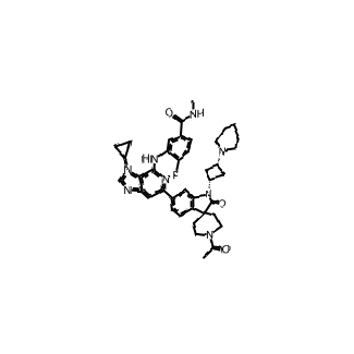 CNC(=O)c1ccc(F)c(Nc2nc(-c3ccc4c(c3)N([C@H]3C[C@@H](N5CCCCC5)C3)C(=O)C43CCN(C(C)=O)CC3)cc3ncn(C4CC4)c23)c1